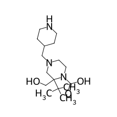 CC(C)(C)C1(CO)CN(CC2CCNCC2)CCN1C(=O)O